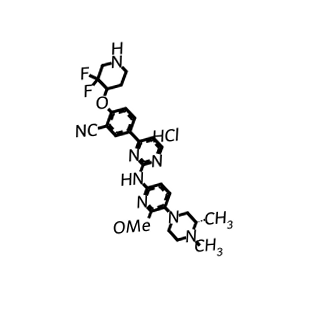 COc1nc(Nc2nccc(-c3ccc(OC4CCNCC4(F)F)c(C#N)c3)n2)ccc1N1CCN(C)[C@@H](C)C1.Cl